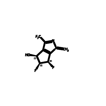 C=[N+]1N=C(C(F)(F)F)C2=C1[C@@H](F)[C@@H](F)[C@H]2O